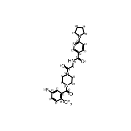 O=C(NCC(=O)N1CCN(C(=O)c2cc(F)ccc2C(F)(F)F)CC1)c1ccc(N2CCCC2)nc1